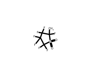 CC1(F)C(F)(F)C(F)(F)C(F)(F)S1(=O)=O